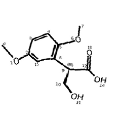 COc1ccc(OC)c([C@H](CO)C(=O)O)c1